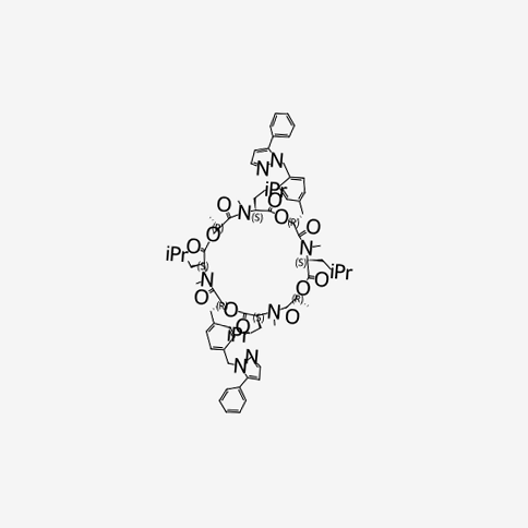 CC(C)C[C@H]1C(=O)O[C@H](Cc2ccc(Cn3nccc3-c3ccccc3)cc2)C(=O)N(C)[C@@H](CC(C)C)C(=O)O[C@H](C)C(=O)N(C)[C@@H](CC(C)C)C(=O)O[C@H](Cc2ccc(Cn3nccc3-c3ccccc3)cc2)C(=O)N(C)[C@@H](CC(C)C)C(=O)O[C@H](C)C(=O)N1C